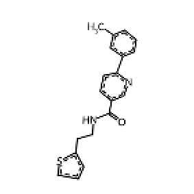 Cc1cccc(-c2ccc(C(=O)NCCc3cccs3)cn2)c1